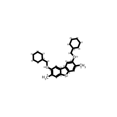 Cc1cc2sc3cc(C)c(OCC4CCCCC4)cc3c2cc1OCC1CCCCC1